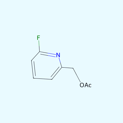 CC(=O)OCc1cccc(F)n1